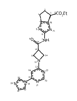 CCOC(=O)C1CCc2sc(NC(=O)C3CN(c4cc(-n5ccnc5)ncn4)C3)nc21